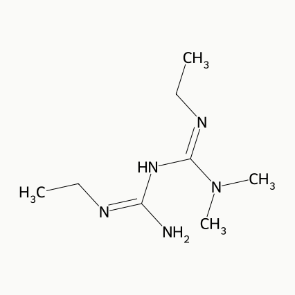 CC/N=C(/N)N/C(=N\CC)N(C)C